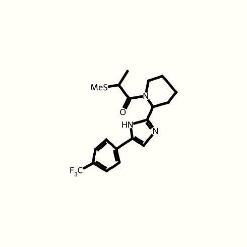 CSC(C)C(=O)N1CCCCC1c1ncc(-c2ccc(C(F)(F)F)cc2)[nH]1